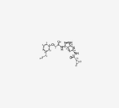 O=C(COc1cccc(CI)c1)Nc1n[nH]c2nc(NC(=O)C3CC3)sc12